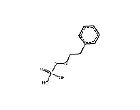 O=P(O)(O)ONCCc1ccccc1